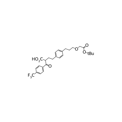 CC(C)(C)OC(=O)COCCCc1ccc(CCC(C(=O)O)C(=O)c2ccc(C(F)(F)F)cc2)cc1